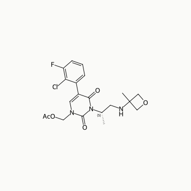 CC(=O)OCn1cc(-c2cccc(F)c2Cl)c(=O)n([C@@H](C)CNC2(C)COC2)c1=O